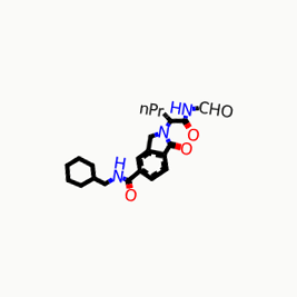 CCCC(C(=O)NC=O)N1Cc2cc(C(=O)NCC3CCCCC3)ccc2C1=O